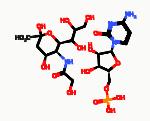 Nc1ccn([C@@H]2O[C@H](COP(=O)(O)O)[C@@H](O)[C@H]2O)c(=O)n1.O=C(CO)N[C@@H]1[C@@H](O)CC(O)(C(=O)O)O[C@H]1C(O)C(O)CO